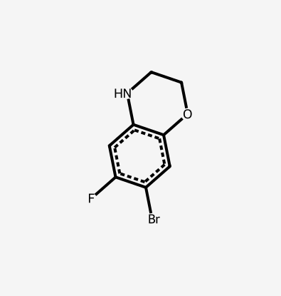 Fc1cc2c(cc1Br)OCCN2